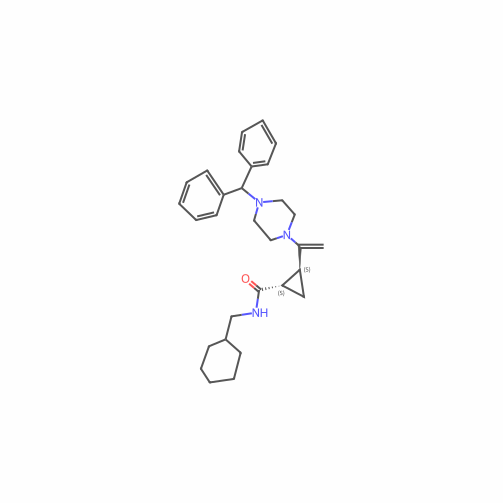 C=C([C@H]1C[C@@H]1C(=O)NCC1CCCCC1)N1CCN(C(c2ccccc2)c2ccccc2)CC1